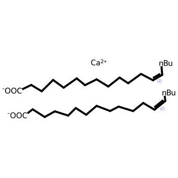 CCCC/C=C\CCCCCCCCCCCC(=O)[O-].CCCC/C=C\CCCCCCCCCCCC(=O)[O-].[Ca+2]